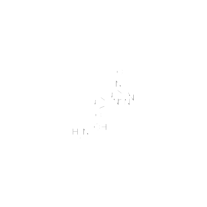 CC(C)n1ncc2c(N3CCOCC3)cc(-c3cccc(OC[C@@H](O)CN)c3)nc21